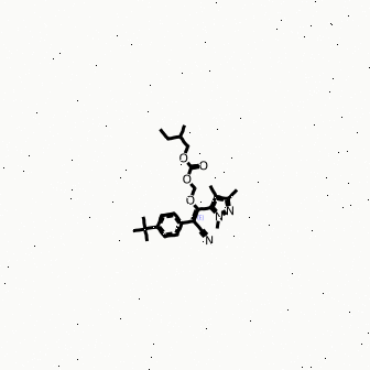 CCC(C)COC(=O)OCO/C(=C(/C#N)c1ccc(C(C)(C)C)cc1)c1c(C)c(C)nn1C